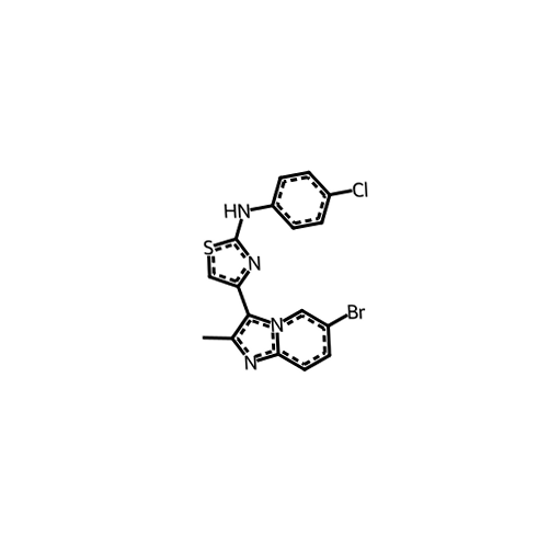 Cc1nc2ccc(Br)cn2c1-c1csc(Nc2ccc(Cl)cc2)n1